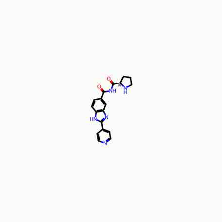 O=C(NC(=O)[C@H]1CCCN1)c1ccc2[nH]c(-c3ccncc3)nc2c1